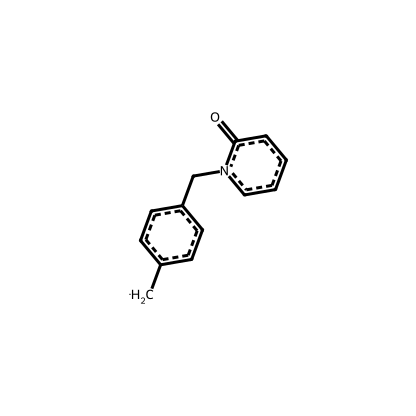 [CH2]c1ccc(Cn2ccccc2=O)cc1